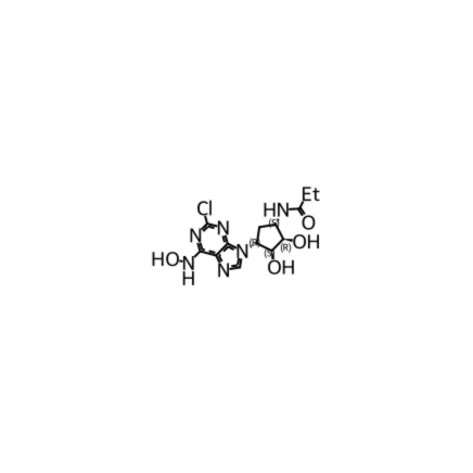 CCC(=O)N[C@H]1C[C@@H](n2cnc3c(NO)nc(Cl)nc32)[C@H](O)[C@@H]1O